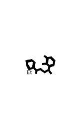 [CH2]C(CCC(C)c1ccccc1CC)c1cccc(C)c1C